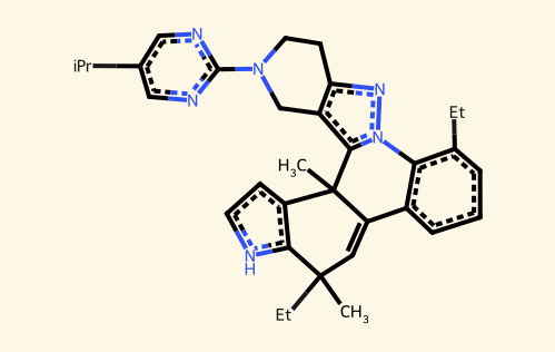 CCc1cccc2c1-n1nc3c(c1C1(C)C2=CC(C)(CC)c2[nH]ccc21)CN(c1ncc(C(C)C)cn1)CC3